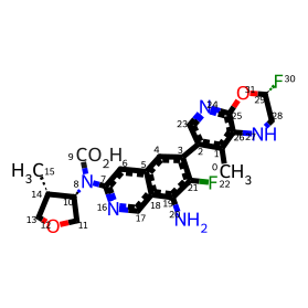 Cc1c(-c2cc3cc(N(C(=O)O)[C@@H]4COC[C@@H]4C)ncc3c(N)c2F)cnc2c1NC[C@@H](F)O2